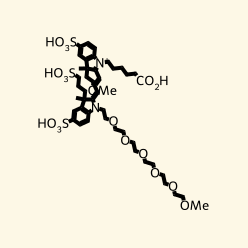 COCCOCCOCCOCCOCCOCCN1/C(=C/C=C/C2=[N+](CCCCCC(=O)O)c3ccc(S(=O)(=O)O)cc3C2(C)CCOC)C(C)(CCCS(=O)(=O)O)c2cc(S(=O)(=O)O)ccc21